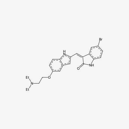 CCN(CC)CCOc1ccc2[nH]c(C=C3C(=O)Nc4ccc(Br)cc43)cc2c1